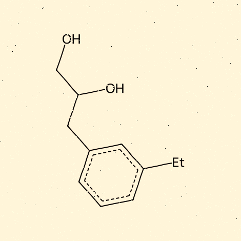 CCc1cccc(CC(O)CO)c1